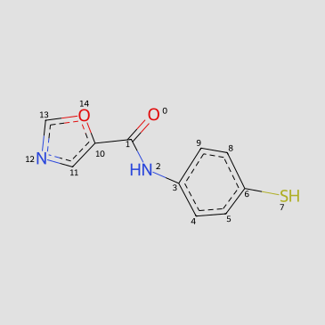 O=C(Nc1ccc(S)cc1)c1cnco1